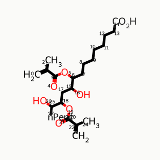 C=C(C)C(=O)OC(CCCCCCCC(=O)O)C(O)CC(OC(=O)C(=C)C)C(O)CCCCC